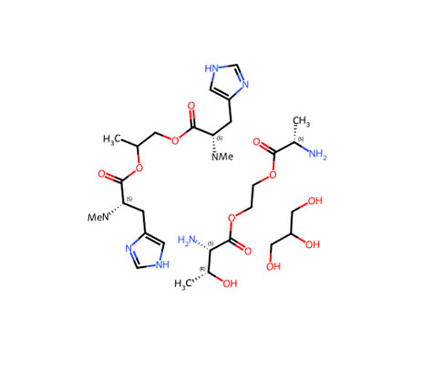 CN[C@@H](Cc1c[nH]cn1)C(=O)OCC(C)OC(=O)[C@H](Cc1c[nH]cn1)NC.C[C@H](N)C(=O)OCCOC(=O)[C@@H](N)[C@@H](C)O.OCC(O)CO